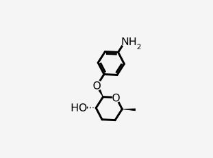 C[C@H]1CC[C@H](O)[C@@H](Oc2ccc(N)cc2)O1